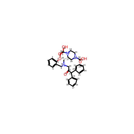 COc1ccccc1CN(CC(=O)C(c1ccccc1)c1ccccc1)C[C@H]1CN(C(=O)O)CCN1C(=O)O